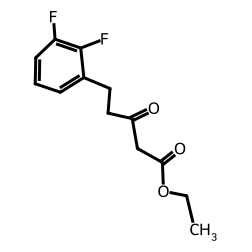 CCOC(=O)CC(=O)CCc1cccc(F)c1F